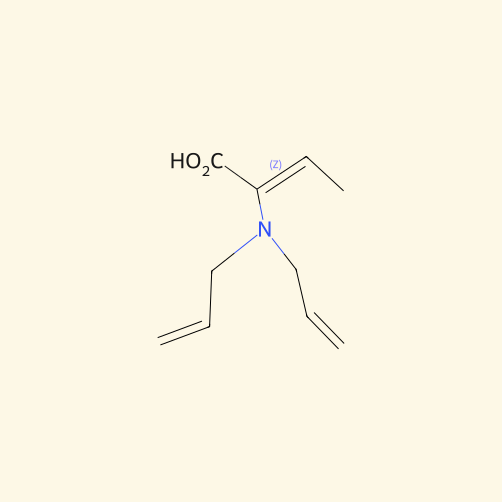 C=CCN(CC=C)/C(=C\C)C(=O)O